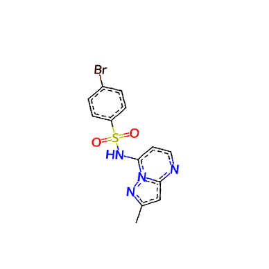 Cc1cc2nccc(NS(=O)(=O)c3ccc(Br)cc3)n2n1